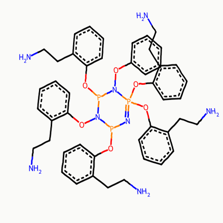 NCCc1ccccc1ON1P(Oc2ccccc2CCN)N=P(Oc2ccccc2CCN)(Oc2ccccc2CCN)N(Oc2ccccc2)P1Oc1ccccc1CCN